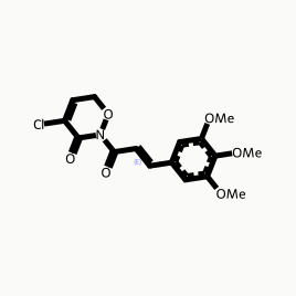 COc1cc(/C=C/C(=O)N2OCC=C(Cl)C2=O)cc(OC)c1OC